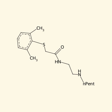 CCCCCNCCNC(=O)CSc1c(C)cccc1C